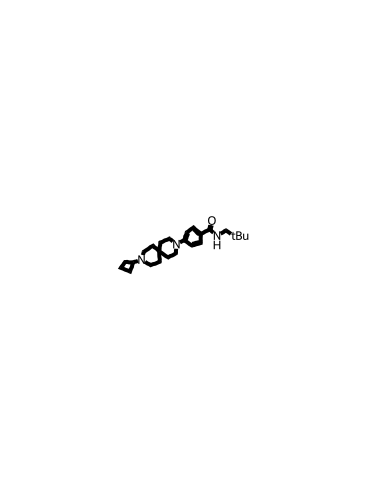 CC(C)(C)CNC(=O)c1ccc(N2CCC3(CC2)CCN(C2CCC2)CC3)cc1